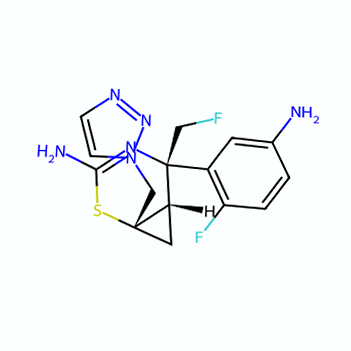 NC1=N[C@](CF)(c2cc(N)ccc2F)[C@@H]2C[C@]2(Cn2ccnn2)S1